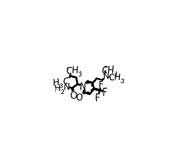 CC(C)CC(C(N)=O)n1cc(CCN(C)C)c(C(F)(F)F)cc1=O